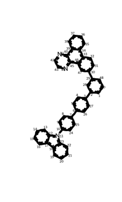 c1cc(-c2ccc(-c3ccc(-n4c5ccccc5c5ccccc54)cc3)cc2)cc(-c2ccc3c4ccccc4c4nccnc4c3c2)c1